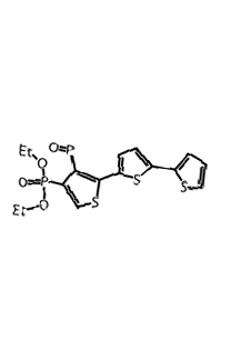 CCOP(=O)(OCC)c1csc(-c2ccc(-c3cccs3)s2)c1P=O